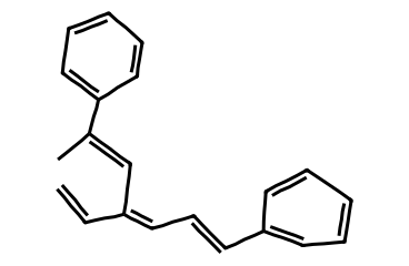 C=CC(=CC=Cc1ccccc1)C=C(C)c1ccccc1